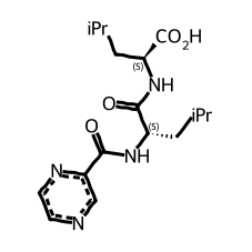 CC(C)C[C@H](NC(=O)[C@H](CC(C)C)NC(=O)c1cnccn1)C(=O)O